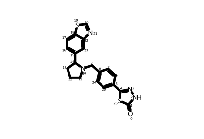 O=c1[nH]nc(-c2ccc(CN3CCCC3c3ccc4scnc4c3)cc2)s1